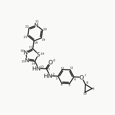 O=C(Nc1ccc(OC2CC2)cc1)Nc1nnc(-c2ccncc2)s1